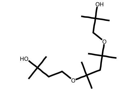 CC(C)(O)CCOC(C)(C)CC(C)(C)OCC(C)(C)O